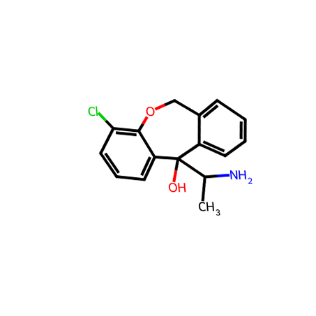 CC(N)C1(O)c2ccccc2COc2c(Cl)cccc21